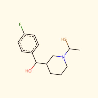 CC(S)N1CCCC(C(O)c2ccc(F)cc2)C1